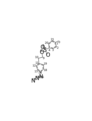 Cc1ccc(S(=O)(=O)OCCc2ccc(N=[N+]=[N-])cc2)cc1